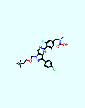 CN(Cc1cc(F)c(-c2ncc3c(n2)c(-c2ccc(Cl)cc2)nn3COCC[Si](C)(C)C)c(F)c1)C(=O)O